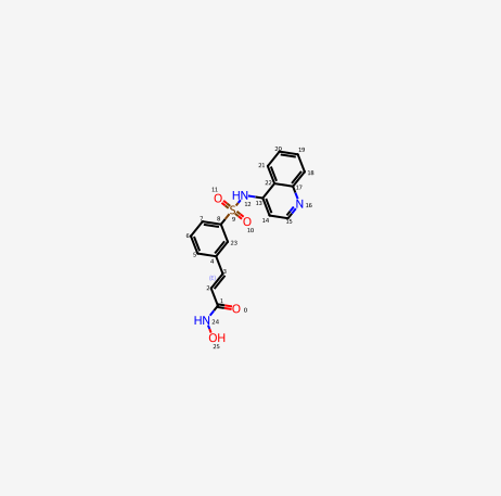 O=C(/C=C/c1cccc(S(=O)(=O)Nc2ccnc3ccccc23)c1)NO